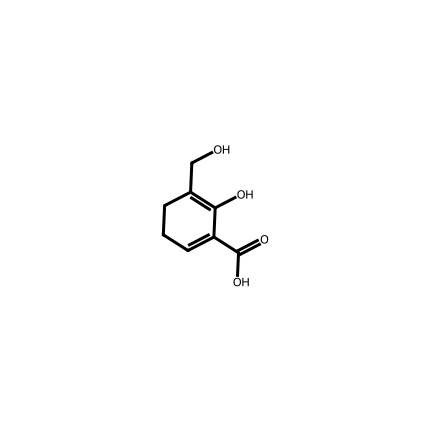 O=C(O)C1=CCCC(CO)=C1O